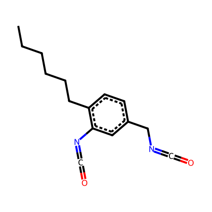 CCCCCCc1ccc(CN=C=O)cc1N=C=O